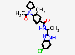 CC(=O)N(c1ccc(C(=O)N[C@@H](C)c2nc3cc(Cl)ccc3[nH]2)cc1C)C1CCCC1